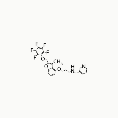 Cc1c(COc2c(F)c(F)c(F)c(F)c2F)oc2cccc(OCCCNCc3cccnc3)c12